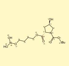 CC(C)(C)OC(=O)N1C[C@H](O)C[C@H]1C(=O)OCCCCON(O)O